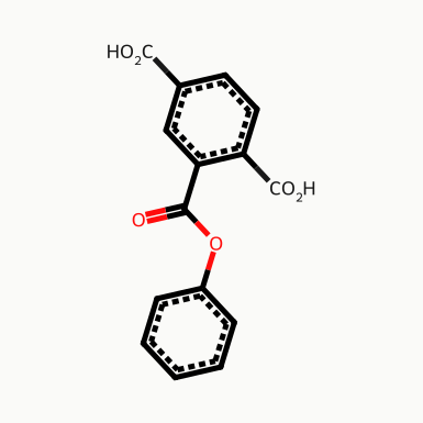 O=C(O)c1ccc(C(=O)O)c(C(=O)Oc2ccccc2)c1